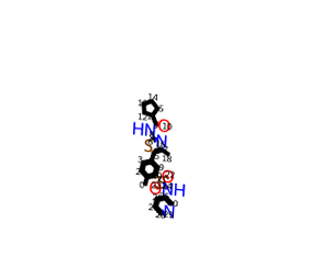 Cc1ccc(-c2sc(NC(=O)C3CCCC3)nc2C)cc1S(=O)(=O)Nc1cccnc1